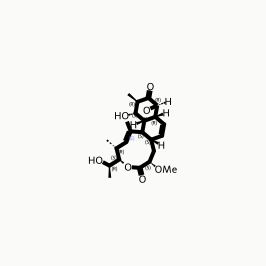 CO[C@H]1C[C@H]2C=C[C@@H]3[C@H]4[C@H](O)[C@@H](C)C(=O)[C@@H]3O[C@]42/C(C)=C/[C@@H](C)[C@@H]([C@@H](C)O)OC1=O